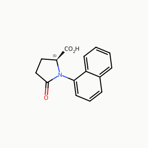 O=C(O)[C@@H]1CCC(=O)N1c1cccc2ccccc12